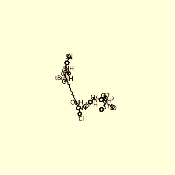 Cc1ncsc1-c1ccc([C@H](C)NC(=O)[C@@H]2CCCN2C(=O)[C@@H](NC(=O)CCCCCCCCCCCC(=O)NCC2(C)CCC(c3ccc(Cl)cc3)=C(CN3CCN(c4ccc(C(=O)NSc5ccc(N[C@H](CCN6CCOCC6)CSc6ccccc6)c(S(=O)(=O)C(F)(F)F)c5)cc4)CC3)C2)C(C)(C)C)cc1